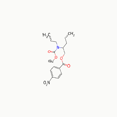 C=CCC(COC(=O)c1ccc([N+](=O)[O-])cc1)N(CC=C)C(=O)OC(C)(C)C